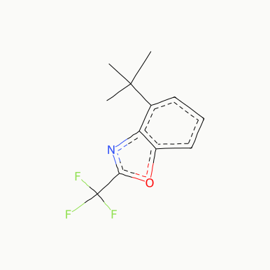 CC(C)(C)c1cccc2oc(C(F)(F)F)nc12